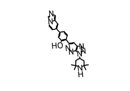 CC1(C)CC(n2nnc3cc(-c4ccc(-c5ccn6cncc6c5)cc4O)nnc32)CC(C)(C)N1